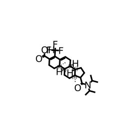 CC(C)N(C(=O)C1CC[C@H]2[C@@H]3CC=C4C(C(F)(F)F)=C(C(=O)O)CC[C@]4(C)[C@@H]3CC[C@]12C)C(C)C